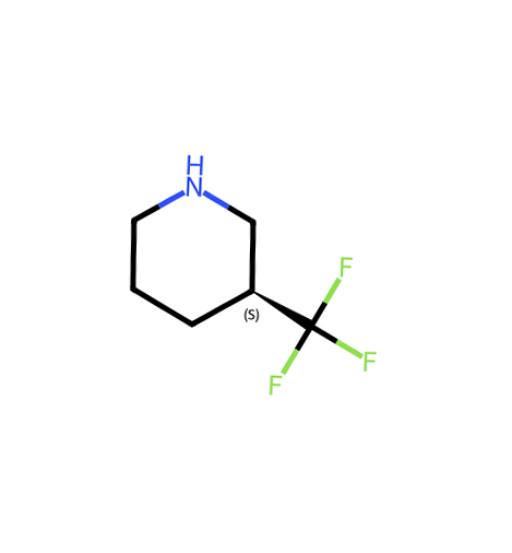 FC(F)(F)[C@H]1CCCNC1